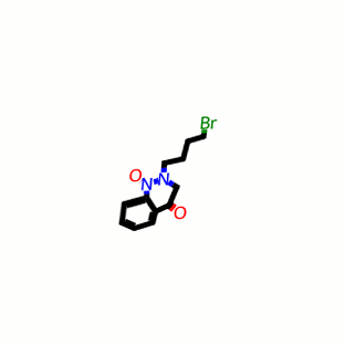 O=C1CN(CCCCBr)[N+](=O)c2ccccc21